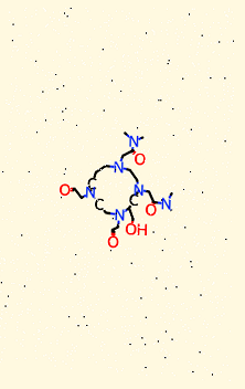 CN(C)C(=O)CN1CCCN(CC=O)CCN(CC=O)C(CO)CN(CC(=O)N(C)C)CC1